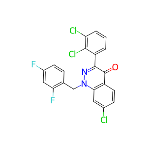 O=c1c(-c2cccc(Cl)c2Cl)nn(Cc2ccc(F)cc2F)c2cc(Cl)ccc12